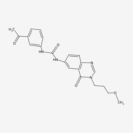 COCCCn1cnc2ccc(NC(=O)Nc3cccc(C(C)=O)c3)cc2c1=O